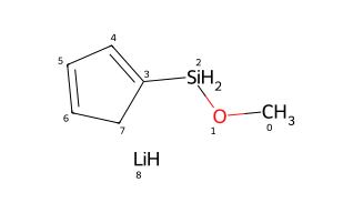 CO[SiH2]C1=CC=CC1.[LiH]